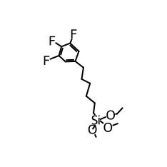 CCO[Si](CCCCCCc1cc(F)c(F)c(F)c1)(OC)OC